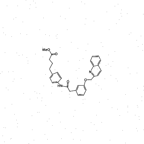 COC(=O)CCCc1ccc(NC(=O)Cc2cccc(OCc3ccc4ccccc4n3)c2)cc1